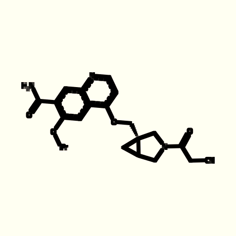 CC(C)Oc1cc2c(OC[C@@]34CC3CN(C(=O)CC#N)C4)ccnc2cc1C(N)=O